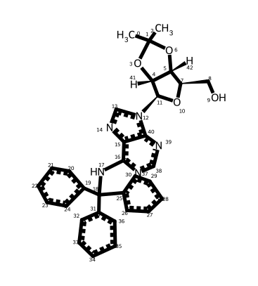 CC1(C)O[C@@H]2[C@H](O1)[C@@H](CO)O[C@H]2n1cnc2c(NC(c3ccccc3)(c3ccccc3)c3ccccc3)ncnc21